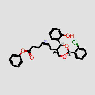 O=C(CC/C=C\C[C@@H]1CO[C@H](c2ccccc2Cl)O[C@@H]1c1ccccc1O)Oc1ccccc1